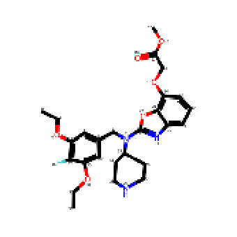 CCOc1cc(CN(c2nc3cccc(OCC(=O)OC)c3o2)C2CCNCC2)cc(OCC)c1F